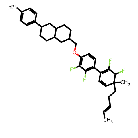 C/C=C/CCC1(C)C=CC(c2ccc(OCC3CCC4CC(c5ccc(CCC)cc5)CCC4C3)c(F)c2F)=C(F)C1F